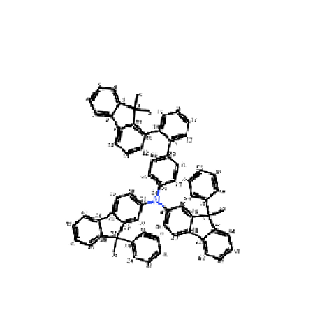 CC1(C)c2ccccc2-c2cccc(-c3ccccc3-c3ccc(N(c4ccc5c(c4)C(C)(c4ccccc4)c4ccccc4-5)c4ccc5c(c4)C(C)(c4ccccc4)c4ccccc4-5)cc3)c21